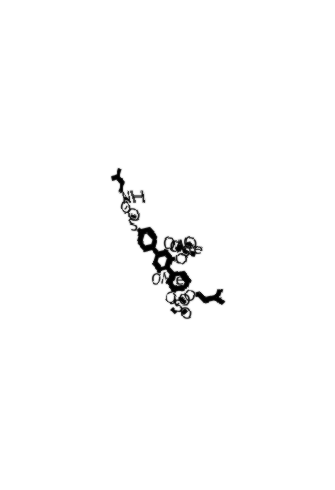 COc1cc(-c2ccc(SOONCC=C(C)C)cc2)c(OC)c(OS(C)(=O)=O)c1-c1ccc(OCC=C(C)C)c(OS(C)(=O)=O)c1